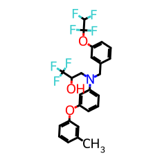 Cc1cccc(Oc2cccc(N(Cc3cccc(OC(F)(F)C(F)F)c3)CC(O)C(F)(F)F)c2)c1